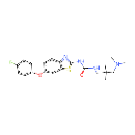 CN(C)CC(C)(C)CNC(=O)Nc1nc2ccc(Oc3ccc(F)cc3)cc2s1